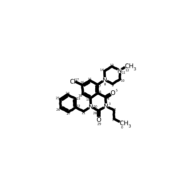 CCCn1c(=O)c2c(N3CCN(C)CC3)cc(Cl)cc2n(Cc2ccccc2)c1=O